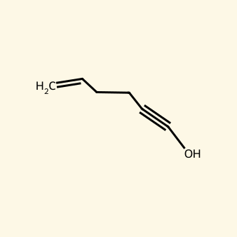 C=CCCC#CO